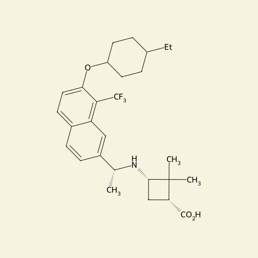 CCC1CCC(Oc2ccc3ccc([C@@H](C)N[C@H]4C[C@@H](C(=O)O)C4(C)C)cc3c2C(F)(F)F)CC1